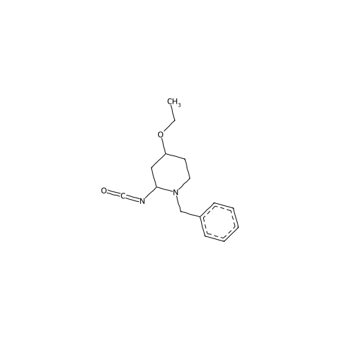 CCOC1CCN(Cc2ccccc2)C(N=C=O)C1